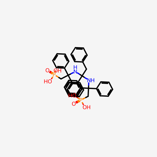 O=P(O)(O)CC(NC(Cc1ccccc1)(NC(CP(=O)(O)O)(c1ccccc1)c1ccccc1)c1ccccc1)(c1ccccc1)c1ccccc1